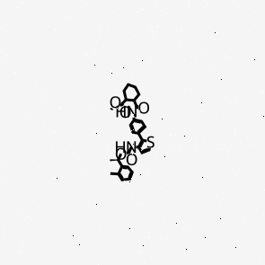 COC(=O)C1CCCCC1C(=O)Nc1ccc(-c2sccc2NC(=O)O[C@H](C)c2ccccc2C)cc1